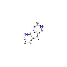 c1cnc2c(c1)cc1cnccn12